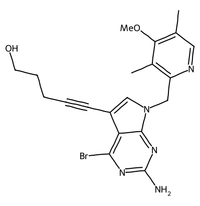 COc1c(C)cnc(Cn2cc(C#CCCCO)c3c(Br)nc(N)nc32)c1C